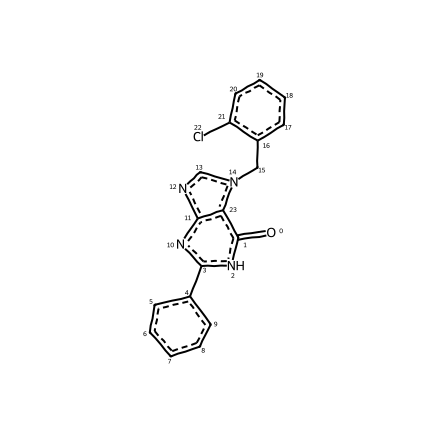 O=c1[nH]c(-c2ccccc2)nc2ncn(Cc3ccccc3Cl)c12